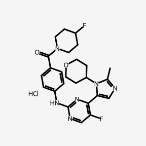 Cc1ncc(-c2nc(Nc3ccc(C(=O)N4CCC(F)CC4)cc3)ncc2F)n1C1CCOCC1.Cl